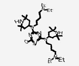 CCN(CC)CCCCN(c1nc(Cl)nc(N(CCCCN(CC)CC)C2CC(C)(C)NC(C)(C)C2)n1)C1CC(C)(C)NC(C)(C)C1